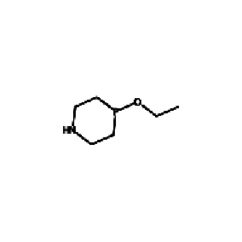 CCOP1CCNCC1